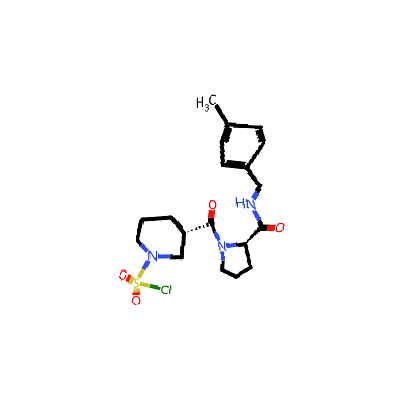 Cc1ccc(CNC(=O)[C@H]2CCCN2C(=O)[C@H]2CCCN(S(=O)(=O)Cl)C2)cc1